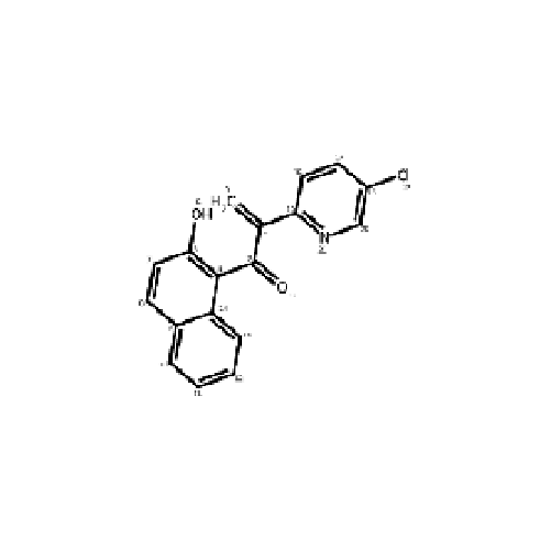 C=C(C(=O)c1c(O)ccc2ccccc12)c1ccc(Cl)cn1